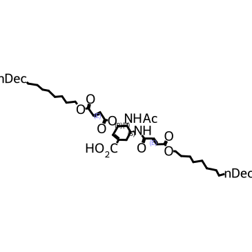 CCCCCCCCCCCCCCCCCCOC(=O)/C=C/C(=O)N[C@H]1CC(C(=O)O)=C[C@@H](OC(=O)/C=C/C(=O)OCCCCCCCCCCCCCCCCCC)[C@@H]1NC(C)=O